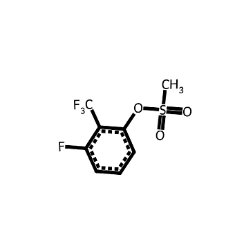 CS(=O)(=O)Oc1cccc(F)c1C(F)(F)F